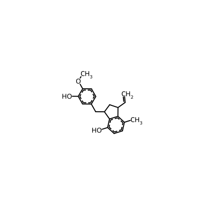 C=CC1CC(Cc2ccc(OC)c(O)c2)c2c(O)ccc(C)c21